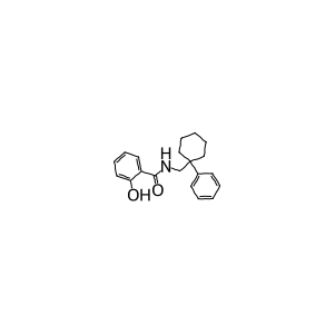 O=C(NCC1(c2ccccc2)CCCCC1)c1ccccc1O